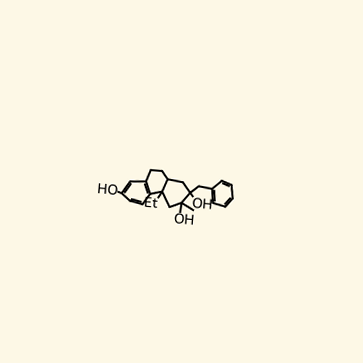 CCC12CC(C)(O)C(O)(Cc3ccccc3)CC1CCc1cc(O)ccc12